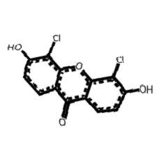 O=c1c2ccc(O)c(Cl)c2oc2c(Cl)c(O)ccc12